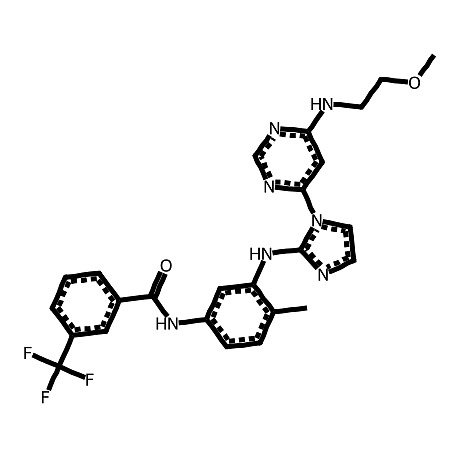 COCCNc1cc(-n2ccnc2Nc2cc(NC(=O)c3cccc(C(F)(F)F)c3)ccc2C)ncn1